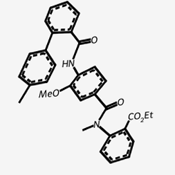 CCOC(=O)c1ccccc1N(C)C(=O)c1ccc(NC(=O)c2ccccc2-c2ccc(C)cc2)c(OC)c1